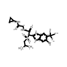 CC(C)CS(=O)(=O)C(C(=O)NCC(=O)NC1CC1)c1nc2cc(C(F)(F)F)c(Br)cc2s1